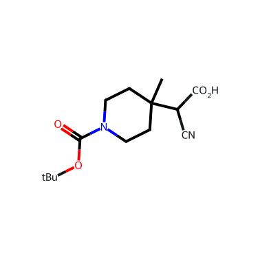 CC(C)(C)OC(=O)N1CCC(C)(C(C#N)C(=O)O)CC1